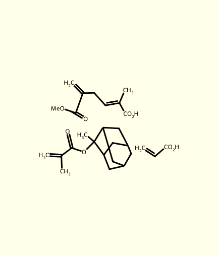 C=C(C)C(=O)OC1(C)C2CC3CC(C2)CC1C3.C=C(CC=C(C)C(=O)O)C(=O)OC.C=CC(=O)O